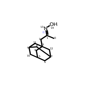 C/C(CC12CC3CC(CC(C3)C1)C2)=N\O